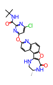 C[C@@H]1CNc2c(oc3ccc4nc(Oc5cc(Cl)nc(C(=O)NC(C)(C)C)n5)ccc4c23)C(=O)N1